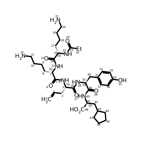 C=CC[C@H](NC(=O)[C@H](CCCCN)NC(=O)[C@H](CCCCN)NC(=O)CC)C(=O)N[C@@H](Cc1ccc(O)cc1)C(=O)N[C@@H](CC1CCCC1)C(=O)O